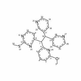 COc1cccc(C(c2ccnc(SC)n2)C(c2cccnc2)c2cccnc2)n1